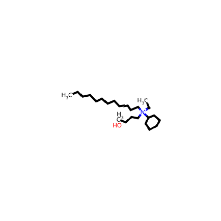 CCCCCCCCCCCC[N+](CC)(CCCC)C1CCCCC1.[OH-]